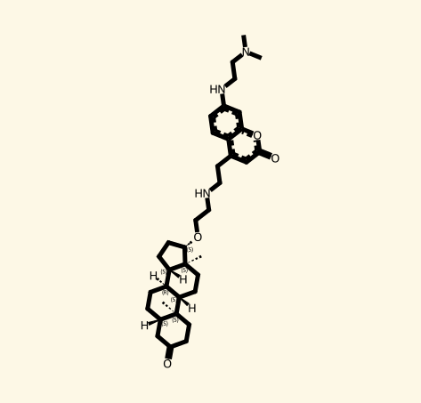 CN(C)CCNc1ccc2c(CCNCCO[C@H]3CC[C@H]4[C@@H]5CC[C@H]6CC(=O)CC[C@]6(C)[C@H]5CC[C@]34C)cc(=O)oc2c1